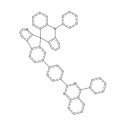 c1ccc(-c2nc(-c3ccc(-c4ccc5c(c4)C4(c6ccccc6N(c6ccccc6)c6ccccc64)c4ncccc4-5)cc3)nc3ccccc23)cc1